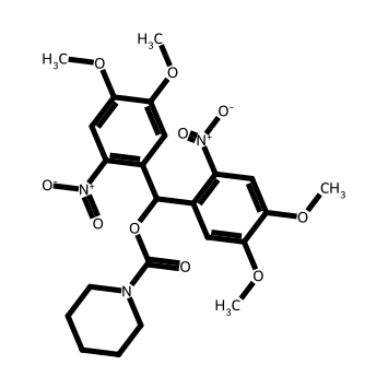 COc1cc(C(OC(=O)N2CCCCC2)c2cc(OC)c(OC)cc2[N+](=O)[O-])c([N+](=O)[O-])cc1OC